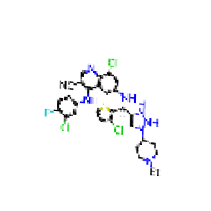 CCN1CCC(N2C=C([C@@H](Nc3cc(Cl)c4ncc(C#N)c(Nc5ccc(F)c(Cl)c5)c4c3)c3sccc3Cl)NN2)CC1